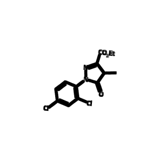 CCOC(=O)C1=NN(c2ccc(Cl)cc2Cl)C(=O)C1C